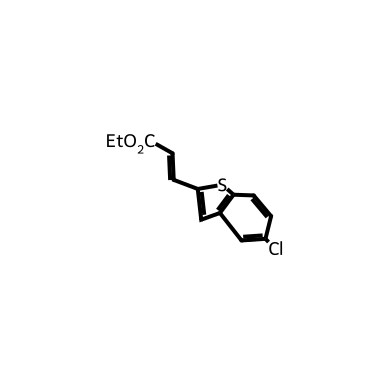 CCOC(=O)C=Cc1cc2cc(Cl)ccc2s1